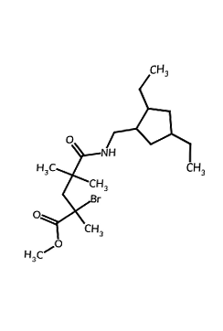 CCC1CC(CC)C(CNC(=O)C(C)(C)CC(C)(Br)C(=O)OC)C1